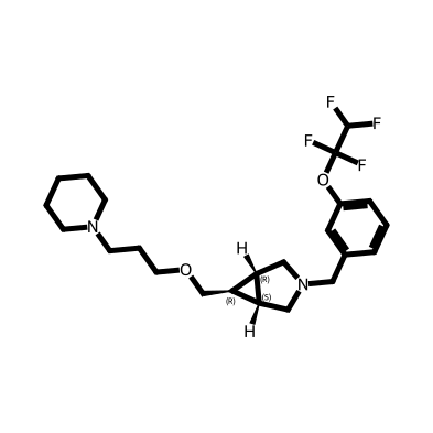 FC(F)C(F)(F)Oc1cccc(CN2C[C@@H]3[C@@H](COCCCN4CCCCC4)[C@@H]3C2)c1